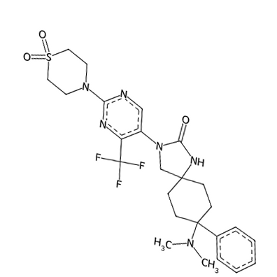 CN(C)C1(c2ccccc2)CCC2(CC1)CN(c1cnc(N3CCS(=O)(=O)CC3)nc1C(F)(F)F)C(=O)N2